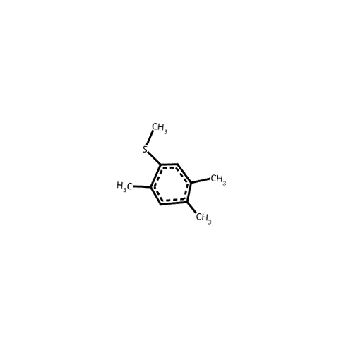 CSc1cc(C)c(C)cc1C